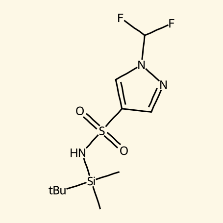 CC(C)(C)[Si](C)(C)NS(=O)(=O)c1cnn(C(F)F)c1